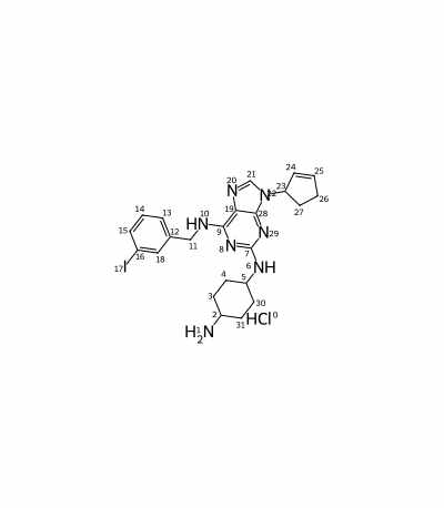 Cl.NC1CCC(Nc2nc(NCc3cccc(I)c3)c3ncn(C4C=CCC4)c3n2)CC1